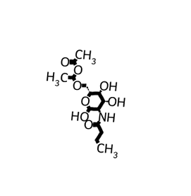 CCCC(=O)N[C@H]1C(O)O[C@H](COC(C)OC(C)=O)[C@@H](O)[C@@H]1O